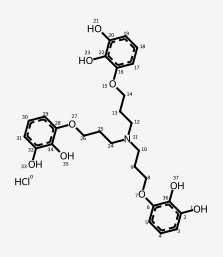 Cl.Oc1cccc(OCCCN(CCCOc2cccc(O)c2O)CCCOc2cccc(O)c2O)c1O